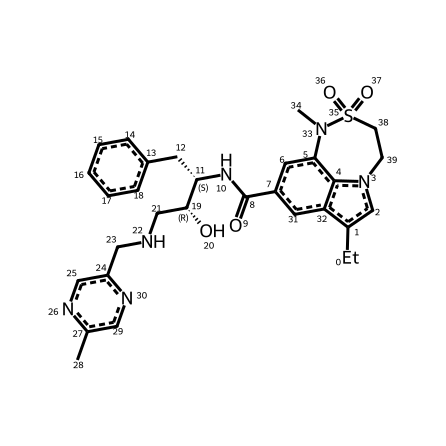 CCc1cn2c3c(cc(C(=O)N[C@@H](Cc4ccccc4)[C@H](O)CNCc4cnc(C)cn4)cc13)N(C)S(=O)(=O)CC2